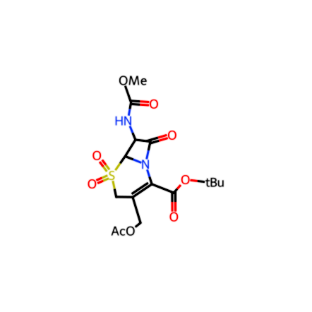 COC(=O)NC1C(=O)N2C(C(=O)OC(C)(C)C)=C(COC(C)=O)CS(=O)(=O)C12